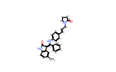 O=C1Nc2ccc([N+](=O)[O-])cc2/C1=C(/Nc1ccc(/C=C/CN2CCCC2=O)cc1)c1ccccc1